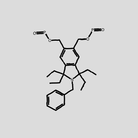 CCC1(CC)c2cc(COP=O)c(COP=O)cc2C(CC)(CC)N1Cc1ccccc1